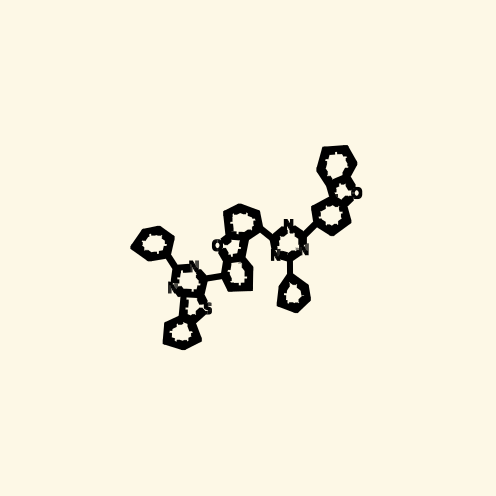 c1ccc(-c2nc(-c3ccc4oc5ccccc5c4c3)nc(-c3cccc4oc5c(-c6nc(-c7ccccc7)nc7c6sc6ccccc67)cccc5c34)n2)cc1